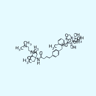 CCC(CC)(NC(=O)CCCc1ccc(Cc2cc([C@]34OC[C@](C(C)(C)O)(O3)[C@@H](O)[C@H](O)[C@H]4O)ccc2C)cc1)C(=O)NCCN(C)C